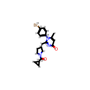 Cc1cc(=O)nc(C[C@@H]2CCN(C(=O)C3CC3)C2)n1-c1ccc(Br)cc1